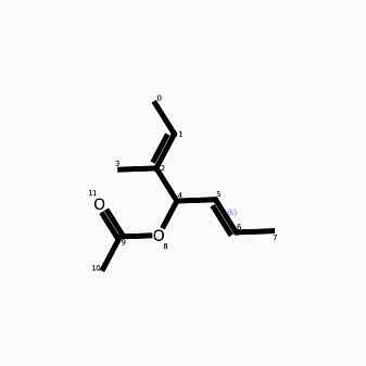 CC=C(C)C(/C=C/C)OC(C)=O